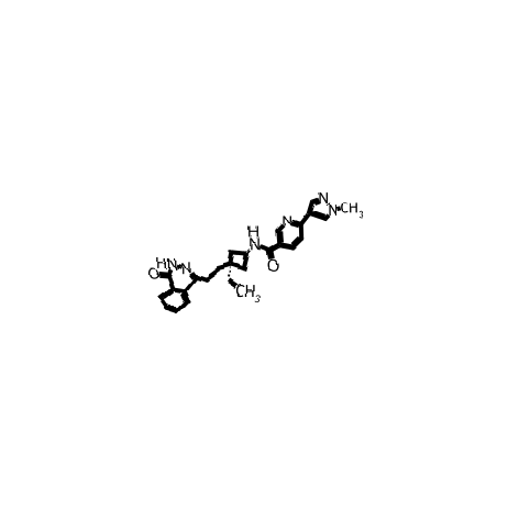 CC[C@]1(CCc2n[nH]c(=O)c3ccccc23)C[C@H](NC(=O)c2ccc(-c3cnn(C)c3)nc2)C1